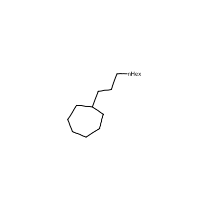 CCCCCCCCCC1CCCCCC1